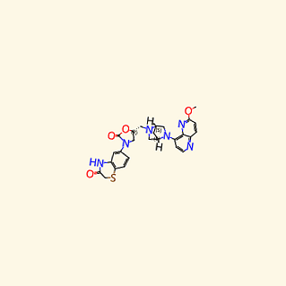 COc1ccc2nccc(N3C[C@@H]4C[C@H]3CN4C[C@@H]3CN(c4ccc5c(c4)NC(=O)CS5)C(=O)O3)c2n1